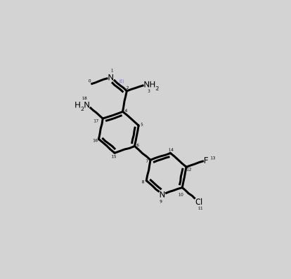 C/N=C(/N)c1cc(-c2cnc(Cl)c(F)c2)ccc1N